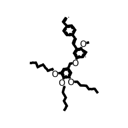 [CH]=Cc1ccc(C=Cc2cc(OCc3cc(OCCCCCC)c(OCCCCCC)c(OCCCCCC)c3)[c]cc2OC)cc1